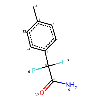 Cc1ccc(C(F)(F)C(N)=O)cc1